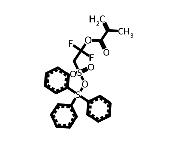 C=C(C)C(=O)OC(F)(F)CS(=O)(=O)OS(c1ccccc1)(c1ccccc1)c1ccccc1